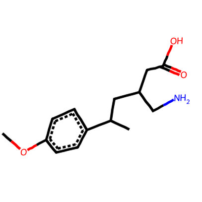 COc1ccc(C(C)CC(CN)CC(=O)O)cc1